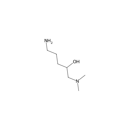 CN(C)CC(O)CCCN